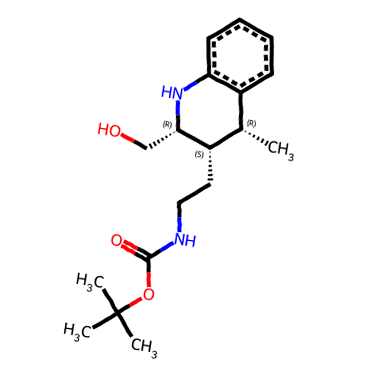 C[C@H]1c2ccccc2N[C@@H](CO)[C@H]1CCNC(=O)OC(C)(C)C